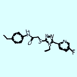 CCc1ccc(NC(=O)CSc2nnc(-c3ccc(F)cn3)n2CC)cc1